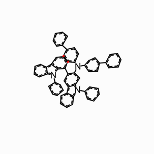 c1ccc(-c2ccc(N(c3ccc(-c4ccccc4)cc3)c3cc4c(cc3-c3cccc5c6ccccc6n(-c6ccccc6)c35)c3ccccc3n4-c3ccccc3)cc2)cc1